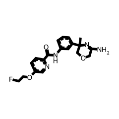 CC1(c2cccc(NC(=O)c3ccc(OCCF)cn3)c2)COCC(N)=N1